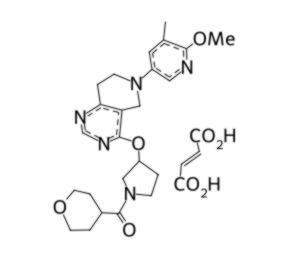 COc1ncc(N2CCc3ncnc(OC4CCN(C(=O)C5CCOCC5)C4)c3C2)cc1C.O=C(O)C=CC(=O)O